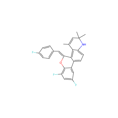 CC1=CC(C)(C)Nc2ccc3c(c21)C(=Cc1ccc(F)cc1)Oc1c(F)cc(F)cc1-3